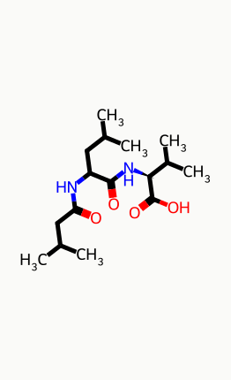 CC(C)CC(=O)NC(CC(C)C)C(=O)N[C@H](C(=O)O)C(C)C